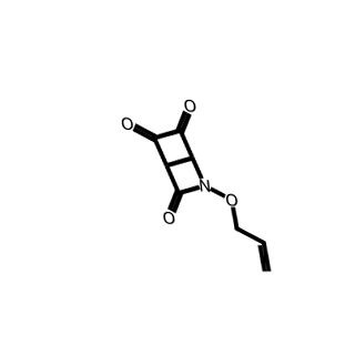 C=CCON1C(=O)C2C(=O)C(=O)C21